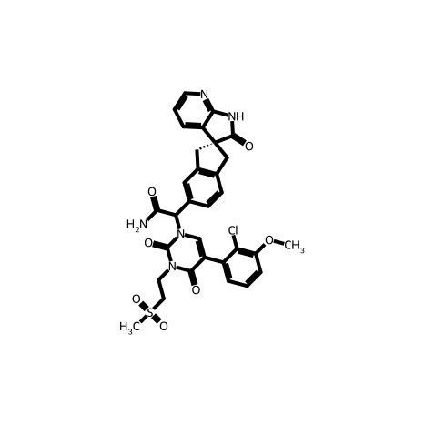 COc1cccc(-c2cn(C(C(N)=O)c3ccc4c(c3)C[C@@]3(C4)C(=O)Nc4ncccc43)c(=O)n(CCS(C)(=O)=O)c2=O)c1Cl